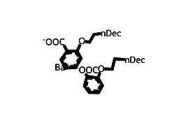 CCCCCCCCCCCCOc1ccccc1C(=O)[O-].CCCCCCCCCCCCOc1ccccc1C(=O)[O-].[Ba+2]